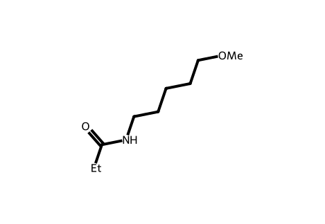 CCC(=O)NCCCCCOC